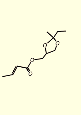 CC=CC(=O)OCC1COC(C)(CC)O1